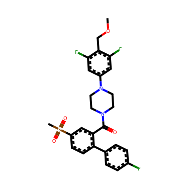 COCc1c(F)cc(N2CCN(C(=O)c3cc(S(C)(=O)=O)ccc3-c3ccc(F)cc3)CC2)cc1F